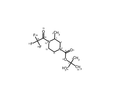 CC1CN(C(=O)OC(C)(C)C)CCN1C(=O)C(F)(F)F